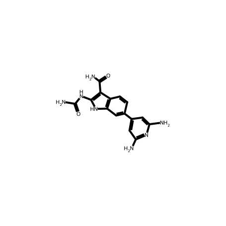 NC(=O)Nc1[nH]c2cc(-c3cc(N)nc(N)c3)ccc2c1C(N)=O